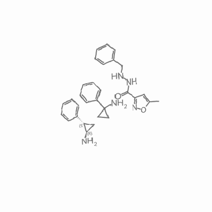 Cc1cc(C(=O)NNCc2ccccc2)no1.NC1(c2ccccc2)CC1.N[C@@H]1C[C@H]1c1ccccc1